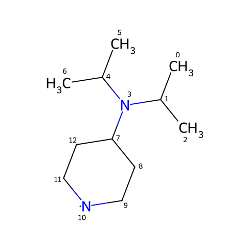 CC(C)N(C(C)C)C1CC[N]CC1